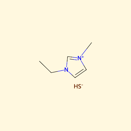 CCn1cc[n+](C)c1.[SH-]